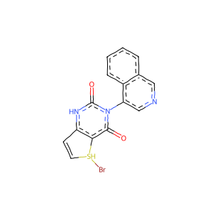 O=c1[nH]c2c(c(=O)n1-c1cncc3ccccc13)[SH](Br)C=C2